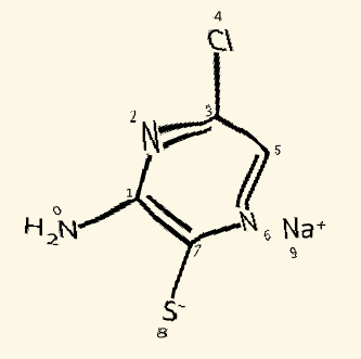 Nc1nc(Cl)cnc1[S-].[Na+]